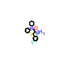 NC1C(=O)N(C2CCCCC2)c2ccccc2SC1c1cc(F)ccc1F